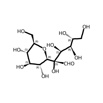 O=C[C@@](O)([C@@H]1O[C@H](CO)[C@@H](O)[C@H](O)[C@H]1O)[C@@H](O)[C@H](O)[C@H](O)CO